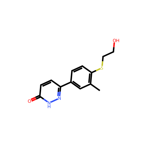 Cc1cc(-c2ccc(=O)[nH]n2)ccc1SCCO